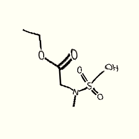 CCOC(=O)CN(C)S(=O)(=O)O